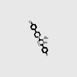 CC[C@@H](C)[C@@H](NC(=O)c1ccc(F)cc1)C(=O)N1CCC(c2ccc(Cl)cc2)CC1